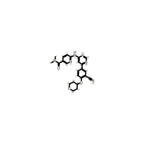 CN(C)C(=O)c1ccc(Nc2cc(-c3ccc(OC4CCOCC4)c(C#N)c3)ncn2)nc1